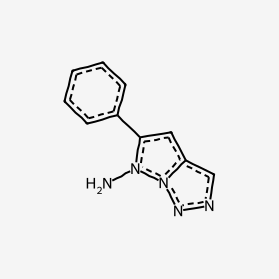 Nn1c(-c2ccccc2)cc2cnnn21